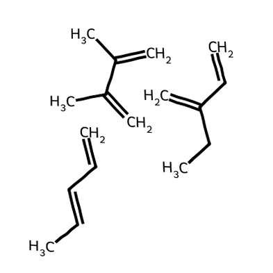 C=C(C)C(=C)C.C=CC(=C)CC.C=CC=CC